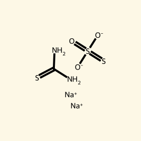 NC(N)=S.O=S([O-])([O-])=S.[Na+].[Na+]